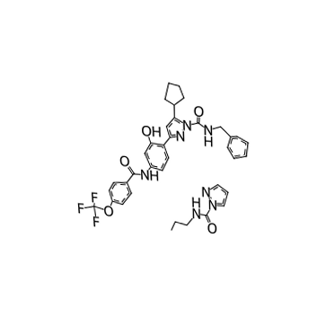 CCCNC(=O)n1cccn1.O=C(Nc1ccc(-c2cc(C3CCCC3)n(C(=O)NCc3ccccc3)n2)c(O)c1)c1ccc(OC(F)(F)F)cc1